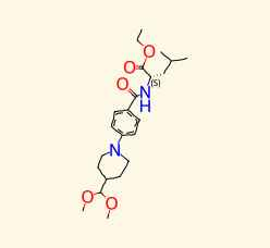 CCOC(=O)[C@H](CC(C)C)NC(=O)c1ccc(N2CCC(C(OC)OC)CC2)cc1